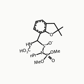 CCCN([S+]([O-])C(NC(=O)O)c1cccc2c1OC(C)(C)C2)P(=O)(OC)OC